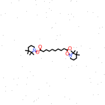 CC1(C)CCCN(OC(=O)CCCCCCCCC(=O)ON2CCCC(C)(C)C2(C)C)C1(C)C